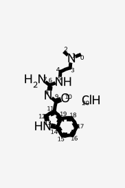 CN(C)CCNC(N)=NC(=O)c1c[nH]c2ccccc12.Cl